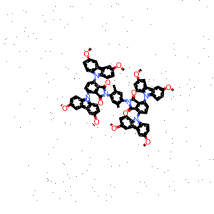 COc1ccc2c(c1)c1cc(OC)ccc1n2-c1ccc(-n2c3ccc(OC)cc3c3cc(OC)ccc32)c2c1C(=O)N(c1cc(C)c(N3C(=O)c4c(-n5c6ccc(OC)cc6c6cc(OC)ccc65)ccc(-n5c6ccc(OC)cc6c6cc(OC)ccc65)c4C3=O)cc1C)C2=O